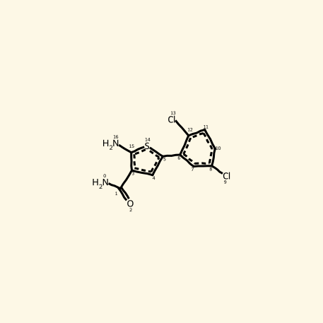 NC(=O)c1cc(-c2cc(Cl)ccc2Cl)sc1N